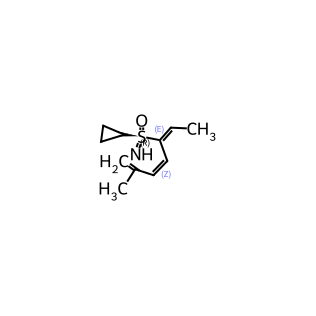 C=C(C)/C=C\C(=C/C)[S@](=N)(=O)C1CC1